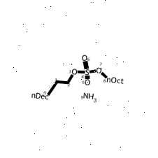 CCCCCCCCCCCCOS(=O)(=O)OCCCCCCCC.N